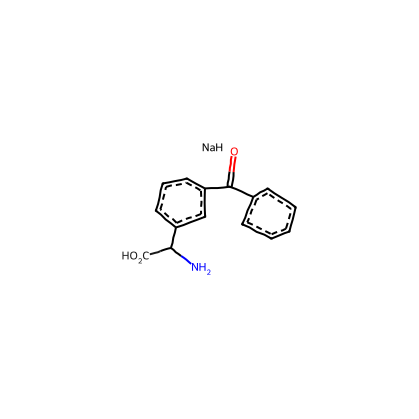 NC(C(=O)O)c1cccc(C(=O)c2ccccc2)c1.[NaH]